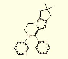 CC1(C)C=c2c(cc3n2CCN(c2cccnc2)C=3c2ccccn2)C1